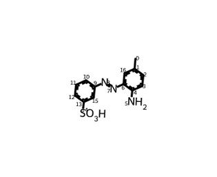 Cc1ccc(N)c(N=Nc2cccc(S(=O)(=O)O)c2)c1